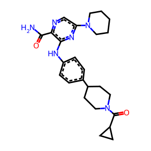 NC(=O)c1ncc(N2CCCCC2)nc1Nc1ccc(C2CCN(C(=O)C3CC3)CC2)cc1